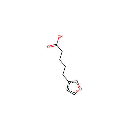 O=C(O)CCCCc1ccoc1